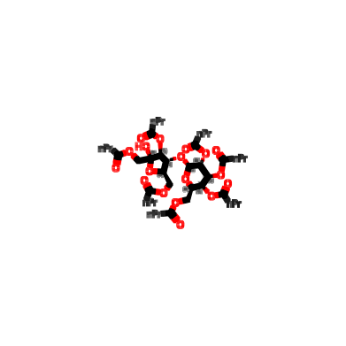 CCCC(=O)OC[C@H]1O[C@@H](O[C@@H]2[C@@H](COC(=O)CCC)O[C@](O)(COC(=O)CCC)[C@H]2OC(=O)CCC)[C@H](OC(=O)CCC)[C@@H](OC(=O)CCC)[C@H]1OC(=O)CCC